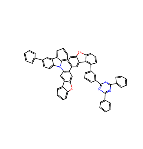 c1ccc(-c2ccc3c(c2)c2ccccc2n3-c2cc3c(cc2-c2ccc4oc5cccc(-c6cccc(-c7nc(-c8ccccc8)nc(-c8ccccc8)n7)c6)c5c4c2)oc2ccccc23)cc1